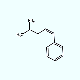 CC(N)C/C=C\c1ccccc1